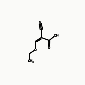 CCOC=C(C#N)C(=O)O